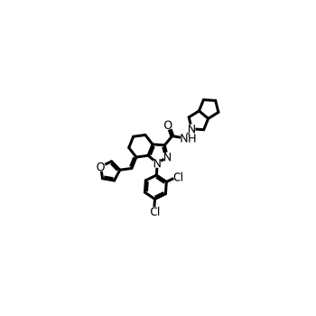 O=C(NN1CC2CCCC2C1)c1nn(-c2ccc(Cl)cc2Cl)c2c1CCC/C2=C\c1ccoc1